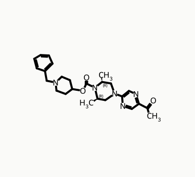 CC(=O)c1cnc(N2C[C@@H](C)N(C(=O)OC3CCN(Cc4ccccc4)CC3)[C@H](C)C2)cn1